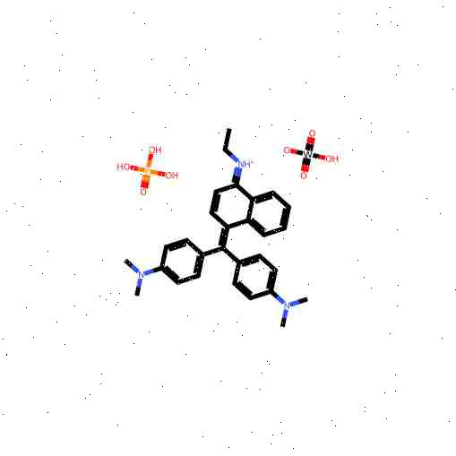 CC[NH+]=C1C=CC(=C(c2ccc(N(C)C)cc2)c2ccc(N(C)C)cc2)c2ccccc21.O=P(O)(O)O.[O]=[W](=[O])([O-])[OH]